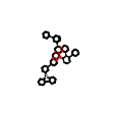 C1=CC(N(c2ccc(-c3cccc(-c4ccccc4)c3)cc2)c2ccc(-c3cccc(-n4c5ccccc5c5ccccc54)c3)cc2)C(c2ccccc2-c2ccccc2)C(c2ccccc2)=C1